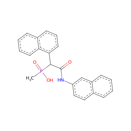 CP(=O)(O)C(C(=O)Nc1ccc2ccccc2c1)c1cccc2ccccc12